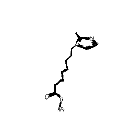 CCCOC(=O)CCCCCCCn1c[c]nc1C